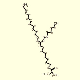 CCCCCCC(CCCC)C(=O)OCCCCCCOCC(COCCOCCOCCOCCN)OCCCCCCO